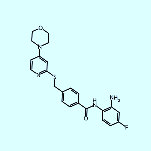 Nc1cc(F)ccc1NC(=O)c1ccc(CSc2cc(N3CCOCC3)ccn2)cc1